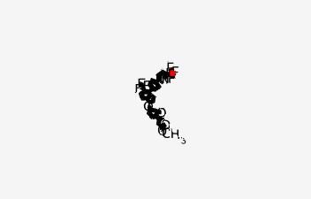 COC(=O)CC1COc2cc(O[C@@H]3CCc4c3ccc(C(F)(F)F)c4-c3ccc(-n4ccc(C(F)(F)F)n4)cc3)ccc21